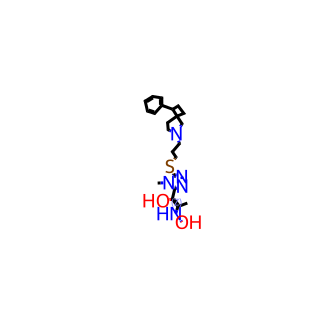 C/C(NO)=C(/O)c1nnc(SCCCN2CCC3(CCC3c3ccccc3)C2)n1C